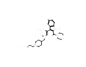 NCCN1CCC(CN(N)/C=C(\N)c2c(C(=O)N3CCOCC3)[nH]c3ccc(F)cc23)CC1